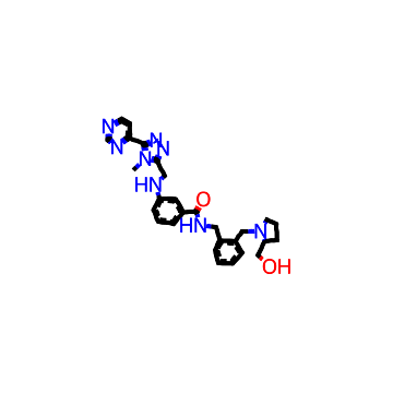 Cn1c(CNc2cccc(C(=O)NCc3ccccc3CN3CCCC3CO)c2)nnc1-c1ccncn1